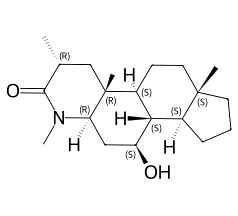 C[C@@H]1C[C@]2(C)[C@H]3CC[C@]4(C)CCC[C@H]4[C@@H]3[C@@H](O)C[C@H]2N(C)C1=O